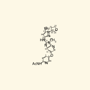 CC(=O)Nc1ccc(Oc2cnc3c(c2)nc(Nc2cc(C(C)(C)C)n([C@H]4CCOC4)n2)n3C)cn1